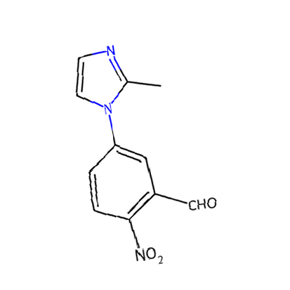 Cc1nccn1-c1ccc([N+](=O)[O-])c(C=O)c1